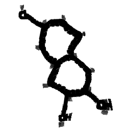 Oc1cc2ccc(Cl)cc2cc1O